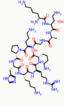 C[C@H](NC(=O)[C@@H](NC(=O)[C@@H](N)CCCCN)[C@@H](O)CN)C(=O)NCC(=O)/N=C(\CCCN)C(=O)N1CCC[C@H]1C(=O)N[C@@H](Cc1cnc[nH]1)C(=O)N[C@@H](CCCCN)C(=O)N/C(=C\CCNC(=N)N)C(=O)N[C@@H](CCCCN)C(=O)O